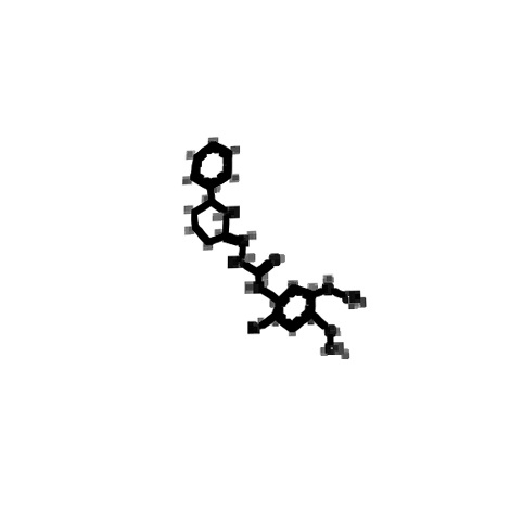 COc1cc(Br)c(NC(=O)N/N=C2\CCCC(c3ccccc3)N2)cc1OC